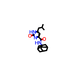 CC(C)Cc1cc(C(=O)NC23CC4CC(CC(C4)C2)C3)nc(=O)[nH]1